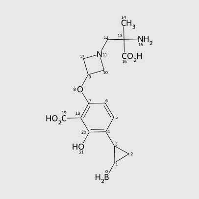 BC1CC1c1ccc(OC2CN(CC(C)(N)C(=O)O)C2)c(C(=O)O)c1O